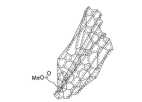 COC(=O)CCCC1(c2ccccc2)C23c4c5c6c2c2c7c8c9c%10c(c%11c4c4c%12c5c5c%13c6c6c2c2c%14c7c7c9c9c%15c%10c%10c%11c%11c4c4c%16c%12c%12c5c5c%13c%13c6c6c2c2c%14c%14c7c9c7c9c%15c%10c%10c%11c4c4c%11c%16c%12c%12c5c5c%13c6c6c2c2c%14c7c7c9c%10c4c4c7c2c2c6c5c%12c%11c42)C813